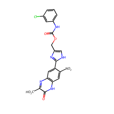 O=C(Nc1cccc(Cl)c1)OCc1c[nH]c(-c2cc3nc(C(=O)O)c(=O)[nH]c3cc2[N+](=O)[O-])n1